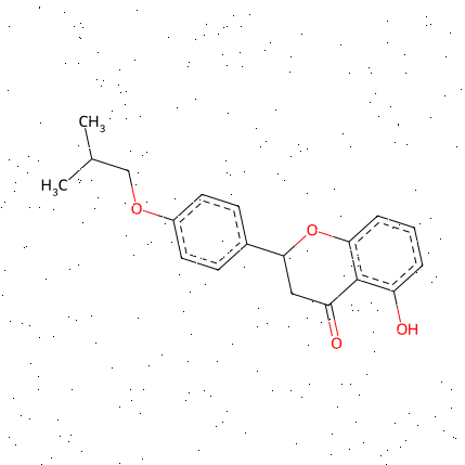 CC(C)COc1ccc(C2CC(=O)c3c(O)cccc3O2)cc1